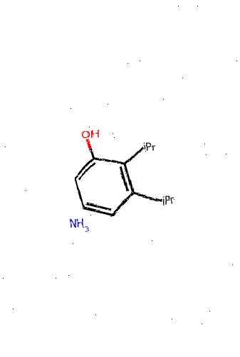 CC(C)c1cccc(O)c1C(C)C.N